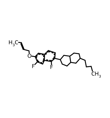 C/C=C/COc1cc2ccc(C3CCC4CC(CCCC)CCC4C3)c(F)c2cc1F